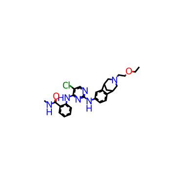 CCOCCN1CC2CC(C1)c1cc(Nc3ncc(Cl)c(Nc4ccccc4C(=O)NC)n3)ccc12